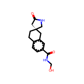 O=C1C[C@]2(CCc3ccc(C(=O)NCO)cc3C2)CN1